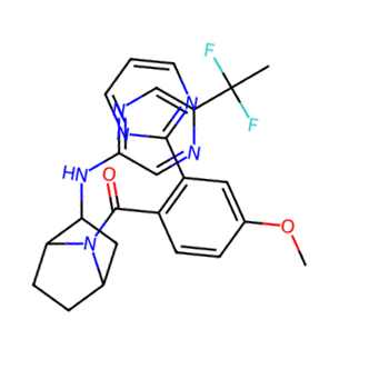 COc1ccc(C(=O)N2C3CCC2C(Nc2cnc(C(C)(F)F)cn2)C3)c(-c2ncccn2)c1